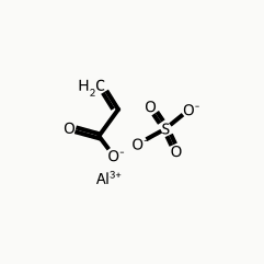 C=CC(=O)[O-].O=S(=O)([O-])[O-].[Al+3]